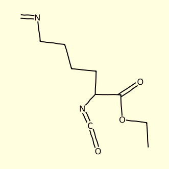 C=NCCCCC(N=C=O)C(=O)OCC